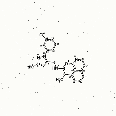 CC(C(=O)NCc1cc(C(C)(C)C)nn1-c1cccc(Cl)c1)c1cccc2ccncc12